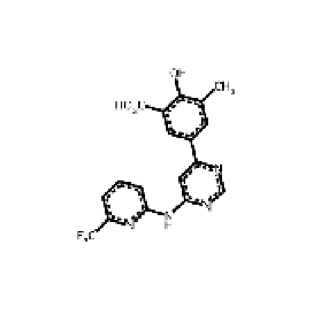 Cc1cc(-c2cc(Nc3cccc(C(F)(F)F)n3)ncn2)cc(C(=O)O)c1O